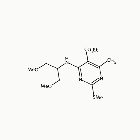 CCOC(=O)c1c(C)nc(SC)nc1NC(COC)COC